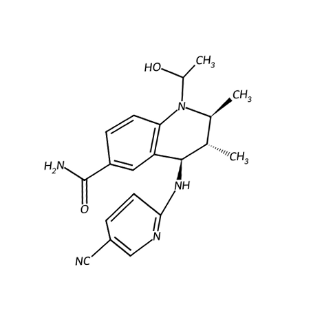 CC(O)N1c2ccc(C(N)=O)cc2[C@H](Nc2ccc(C#N)cn2)[C@@H](C)[C@@H]1C